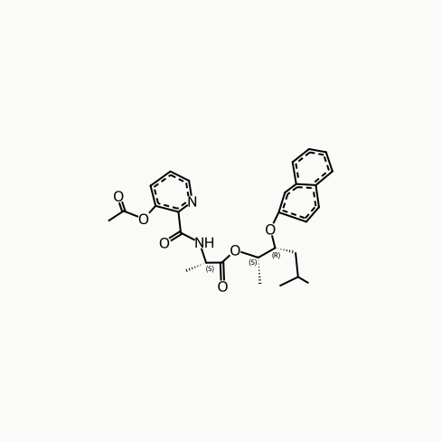 CC(=O)Oc1cccnc1C(=O)N[C@@H](C)C(=O)O[C@@H](C)[C@@H](CC(C)C)Oc1ccc2ccccc2c1